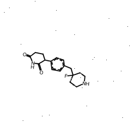 O=C1CCC(c2ccc(CC3(F)CCNCC3)cc2)C(=O)N1